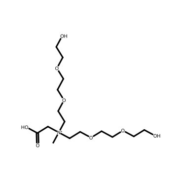 C[N+](CCOCCOCCO)(CCOCCOCCO)CC(=O)O